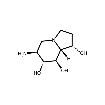 N[C@H]1CN2CC[C@H](O)[C@@H]2[C@@H](O)[C@@H]1O